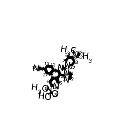 CN(C(=O)O)c1ccc(-c2c(-c3ccc(C#N)cc3)nc(N3CCC(N(C)C)CC3)n3ccnc23)cn1